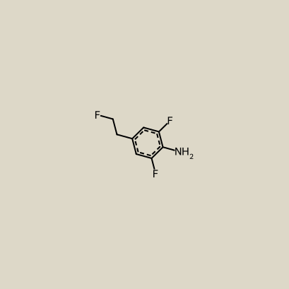 Nc1c(F)cc(CCF)cc1F